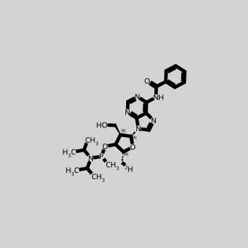 [2H]C[C@H]1O[C@@H](n2cnc3c(NC(=O)c4ccccc4)ncnc32)[C@H](CO)C1OP(C)N(C(C)C)C(C)C